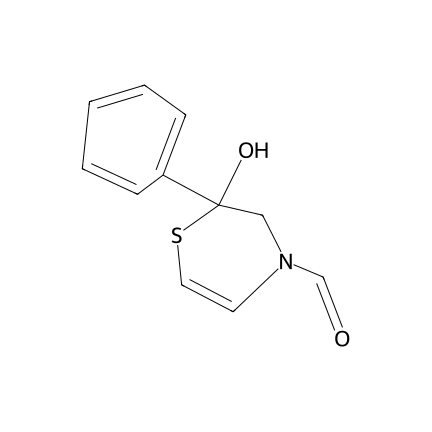 O=CN1C=CSC(O)(c2ccccc2)C1